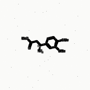 COC(=O)C[C@@H](N)c1ccc(OC)c(OC)c1